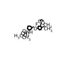 C=C(C)c1ccc(OCc2cccc(NC(=O)OC(C)(C)C)c2)c(F)c1C1OCCO1